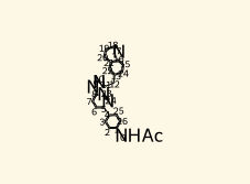 CC(=O)Nc1ccc(-c2ccc3nnc(Cc4ccc5ncccc5c4)n3n2)cc1